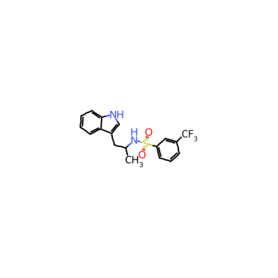 CC(Cc1c[nH]c2ccccc12)NS(=O)(=O)c1cccc(C(F)(F)F)c1